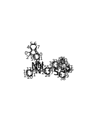 CC1(C)c2ccccc2-c2ccc(-c3nc(-c4ccccc4)nc(-c4cccc(-c5cccc6c5Sc5ccccc5C65c6ccccc6-c6ccccc65)c4)n3)cc21